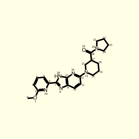 COc1cccc(-c2nc3ccc(N4CCCC(C(=O)N5CCCC5)C4)nc3[nH]2)n1